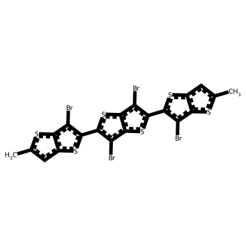 Cc1cc2sc(-c3sc4c(Br)c(-c5sc6cc(C)sc6c5Br)sc4c3Br)c(Br)c2s1